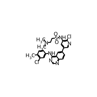 Cc1ccc(Nc2ncnc3ccc(-c4cnc(Cl)c(NS(=O)(=O)CCN(C)C)c4)cc23)cc1Cl